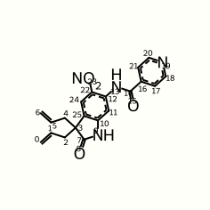 C=CCC1(CC=C)C(=O)Nc2cc(NC(=O)c3ccncc3)c([N+](=O)[O-])cc21